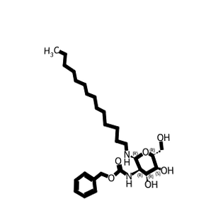 CCCCCCCCCCCCCCN[C@@H]1O[C@H](CO)[C@@H](O)[C@H](O)[C@H]1NC(=O)OCc1ccccc1